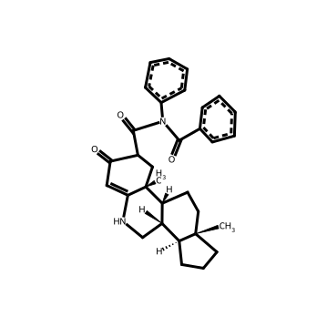 C[C@@]12CCC[C@H]1[C@@H]1CNC3=CC(=O)C(C(=O)N(C(=O)c4ccccc4)c4ccccc4)C[C@]3(C)[C@@H]1CC2